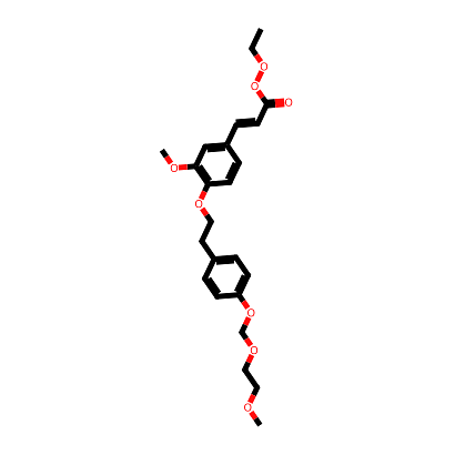 CCOOC(=O)C=Cc1ccc(OCCc2ccc(OCOCCOC)cc2)c(OC)c1